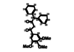 COc1cc(C(=O)CC(=O)N(c2ccccc2)c2ccccc2)cc(OC)c1OC